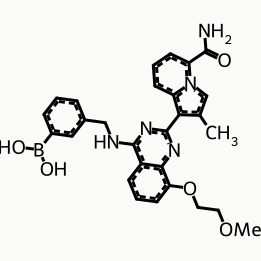 COCCOc1cccc2c(NCc3cccc(B(O)O)c3)nc(-c3c(C)cn4c(C(N)=O)cccc34)nc12